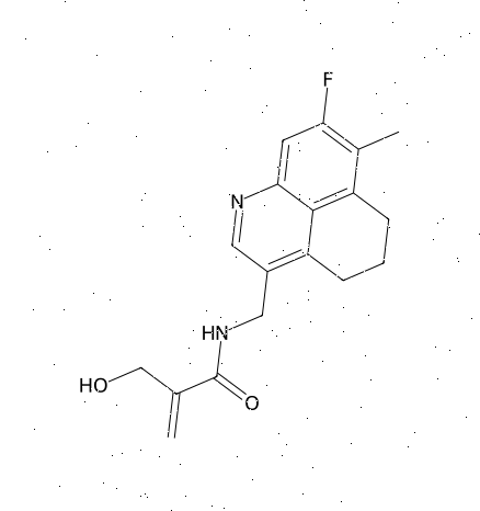 C=C(CO)C(=O)NCc1cnc2cc(F)c(C)c3c2c1CCC3